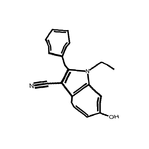 CCn1c(-c2ccccc2)c(C#N)c2ccc(O)cc21